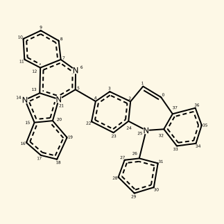 C1=Cc2cc(-c3nc4ccccc4c4nc5ccccc5n34)ccc2N(c2ccccc2)c2ccccc21